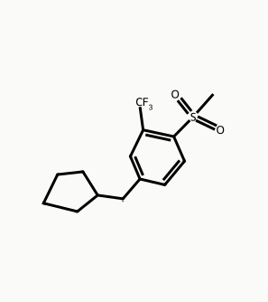 CS(=O)(=O)c1ccc([CH]C2CCCC2)cc1C(F)(F)F